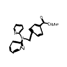 COC(=O)c1ccc(CN(c2ccccn2)c2ccccn2)cc1